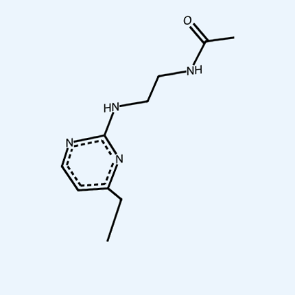 CCc1ccnc(NCCNC(C)=O)n1